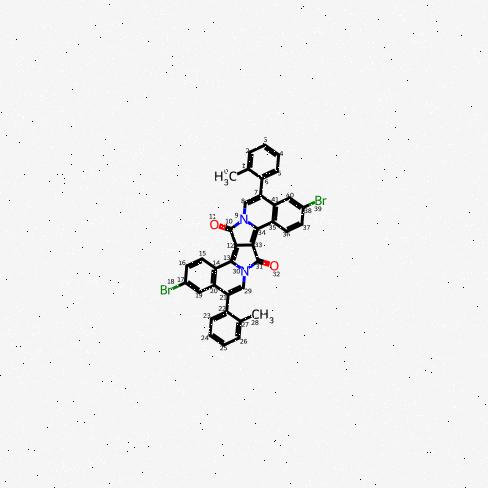 Cc1ccccc1C1=CN2C(=O)C3=C4c5ccc(Br)cc5C(c5ccccc5C)=CN4C(=O)C3=C2c2ccc(Br)cc21